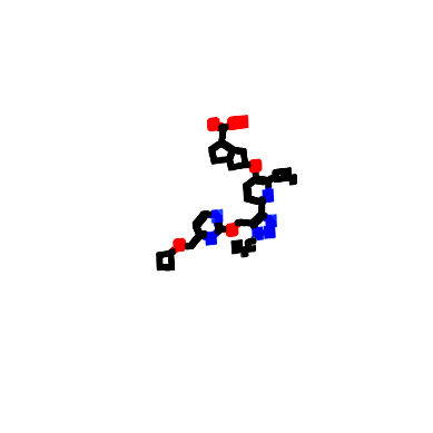 Cc1nc(-c2nnn(C)c2COc2nccc(COC3CCC3)n2)ccc1OC1CC2CCC(C(=O)O)C2C1